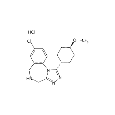 Cl.FC(F)(F)O[C@H]1CC[C@H](c2nnc3n2-c2ccc(Cl)cc2CNC3)CC1